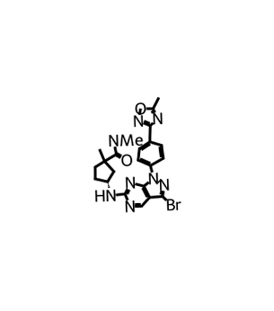 CNC(=O)C1(C)CC[C@@H](Nc2ncc3c(Br)nn(-c4ccc(-c5noc(C)n5)cc4)c3n2)C1